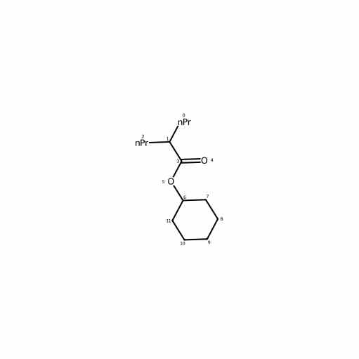 CCCC(CCC)C(=O)OC1CCCCC1